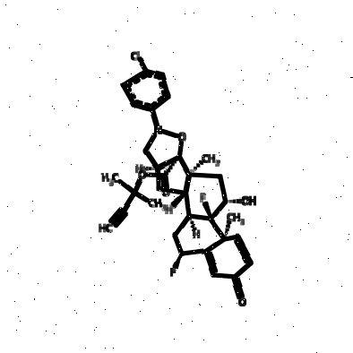 C#CC(C)(C)OC(=O)[C@@]12ON(c3ccc(Cl)cc3)C[C@@H]1C[C@H]1[C@@H]3C[C@H](F)C4=CC(=O)C=C[C@]4(C)[C@@]3(F)[C@@H](O)C[C@@]12C